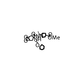 COC(=O)c1ccc([C@H](C)NC(=O)C2(NCCOc3ccccc3)CCS(=O)(=O)CC2)cc1